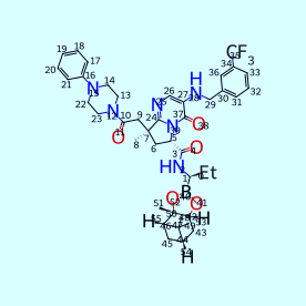 CC[C@H](NC(=O)[C@@H]1C[C@@](C)(CC(=O)N2CCN(c3ccccc3)CC2)c2ncc(NCc3cccc(C(F)(F)F)c3)c(=O)n21)B1O[C@@H]2C[C@@H]3C[C@@H](C3(C)C)[C@]2(C)O1